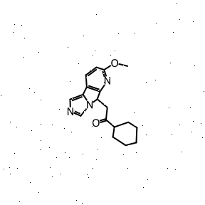 COc1ccc2c(n1)C(CC(=O)C1CCCCC1)n1cncc1-2